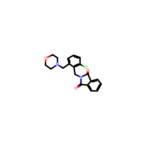 O=C1c2ccccc2C(=O)N1Cc1c(Cl)cccc1CN1CCOCC1